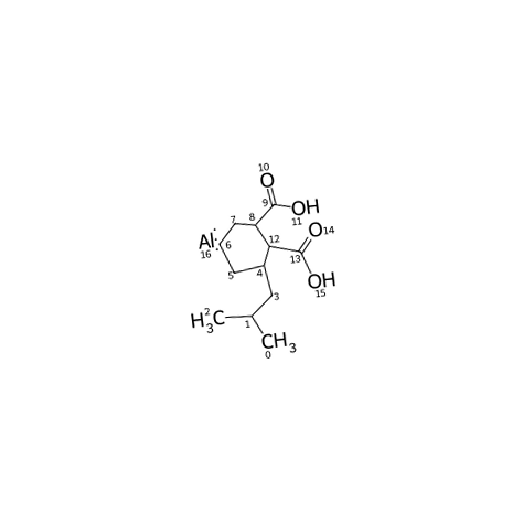 CC(C)CC1CCCC(C(=O)O)C1C(=O)O.[Al]